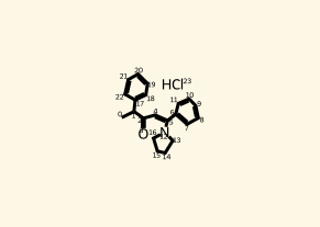 CC(C(=O)C=C(c1ccccc1)N1CCCC1)c1ccccc1.Cl